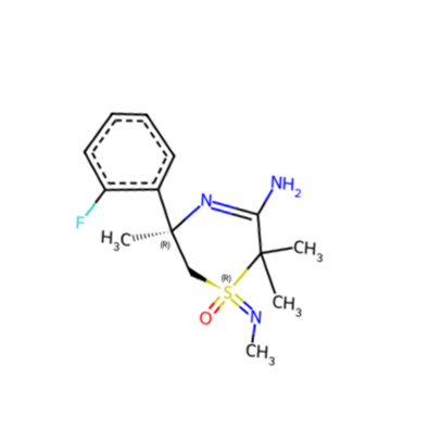 CN=[S@@]1(=O)C[C@@](C)(c2ccccc2F)N=C(N)C1(C)C